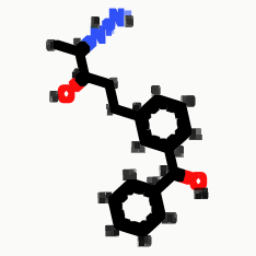 CC(=[N+]=[N-])C(=O)CCc1cccc(C(=O)c2ccccc2)c1